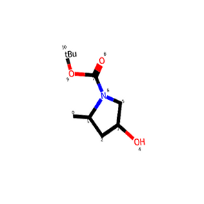 CC1CC(O)CN1C(=O)OC(C)(C)C